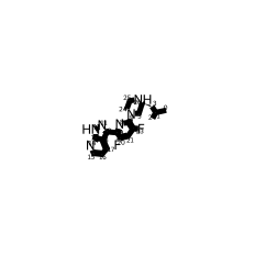 CC(C)C[C@@H]1CN(c2nc(-c3n[nH]c4ncccc34)c(F)cc2F)CCN1